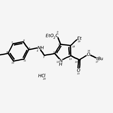 CCOC(=O)c1c(CNc2ccc(Cl)cc2)[nH]c(C(=O)OC(C)(C)C)c1CC.Cl